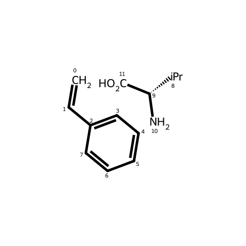 C=Cc1ccccc1.CC(C)[C@H](N)C(=O)O